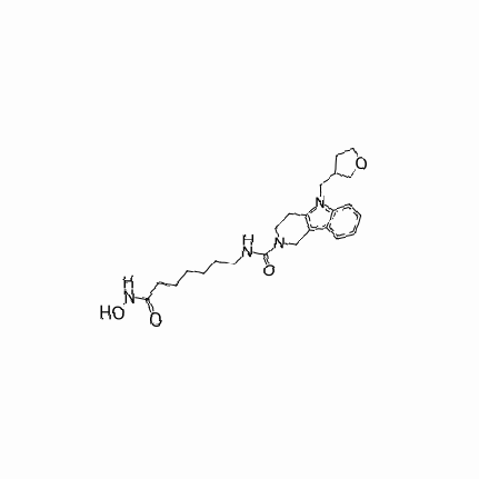 O=C(CCCCCCNC(=O)N1CCc2c(c3ccccc3n2CC2CCOC2)C1)NO